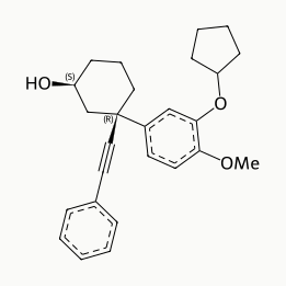 COc1ccc([C@@]2(C#Cc3ccccc3)CCC[C@H](O)C2)cc1OC1CCCC1